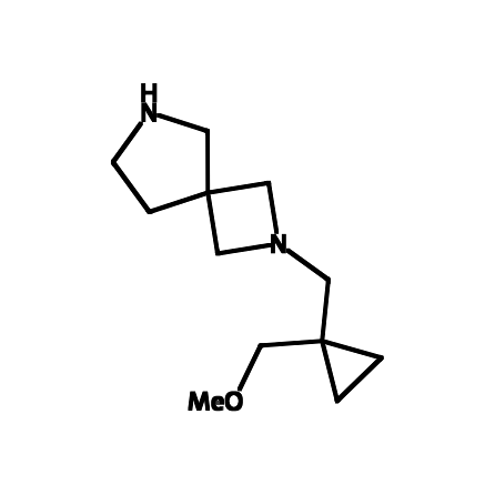 COCC1(CN2CC3(CCNC3)C2)CC1